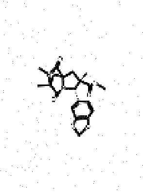 COC(=O)[C@@]1(C)CC23SC(C)(C(=O)N2[C@H]1c1ccc2c(c1)OCO2)N(C)C3=O